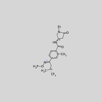 CCN1C[C@H](NC(=O)c2ccc(/C(C[C@@H](C)C(F)(F)F)=N/OP)cc2C)CC1=O